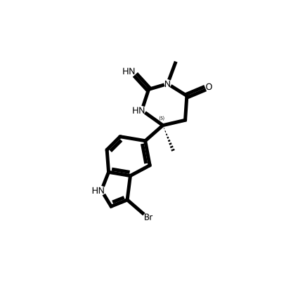 CN1C(=N)N[C@](C)(c2ccc3[nH]cc(Br)c3c2)CC1=O